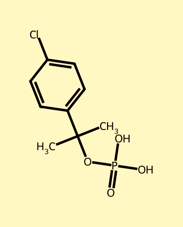 CC(C)(OP(=O)(O)O)c1ccc(Cl)cc1